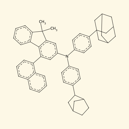 CC1(C)c2ccccc2-c2c(-c3cccc4ccccc34)cc(N(c3ccc(C4CC5CCC4C5)cc3)c3ccc(C45CC6CC(CC(C6)C4)C5)cc3)cc21